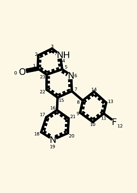 O=c1cc[nH]c2nc(-c3ccc(F)cc3)c(-c3ccncc3)cc12